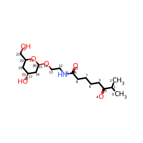 CC(C)C(=O)CCCCC(=O)NCCO[C@H]1C[C@@H](O)CC(CO)O1